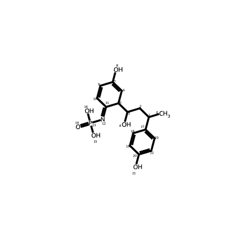 CC(CC(O)C1C=C(O)C=C/C1=N\P(=O)(O)O)c1ccc(O)cc1